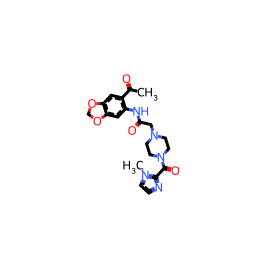 CC(=O)c1cc2c(cc1NC(=O)CN1CCN(C(=O)c3nccn3C)CC1)OCO2